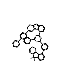 CC1(C)C2=C(CCC=C2)c2c(-c3cccc(C4N=C(c5cccc6sc7c(c56)C=C(c5ccc(-c6ccccc6)cc5)CC7)N=C(c5ccccc5)N4)c3)cccc21